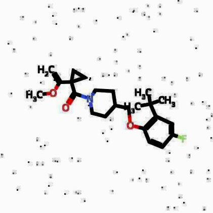 C=C(OC)C1(C(=O)N2CCC(COc3ccc(F)cc3C(C)(C)C)CC2)CC1